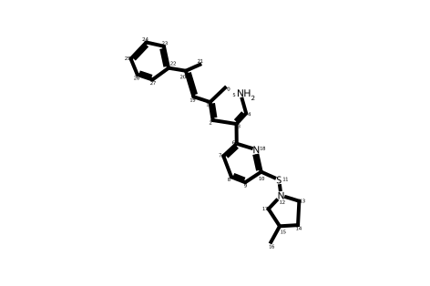 CC(=C\C(=C/N)c1cccc(SN2CCC(C)C2)n1)/C=C(\C)c1ccccc1